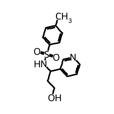 Cc1ccc(S(=O)(=O)NC(CCO)c2cccnc2)cc1